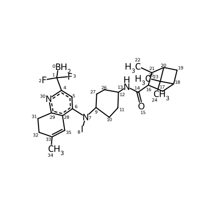 BC(F)(F)c1cc(N(I)C2CCC(NC(=O)C3CC4CC(C3C)C4(C)C)CC2)c2c(n1)CCC(C)=C2